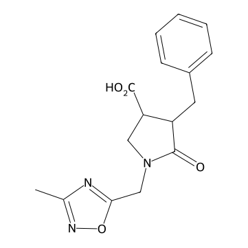 Cc1noc(CN2CC(C(=O)O)C(Cc3ccccc3)C2=O)n1